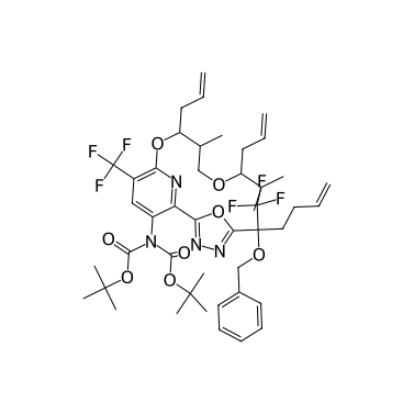 C=CCCC(OCc1ccccc1)(c1nnc(-c2nc(OC(CC=C)C(C)COC(CC=C)C(C)C)c(C(F)(F)F)cc2N(C(=O)OC(C)(C)C)C(=O)OC(C)(C)C)o1)C(F)(F)F